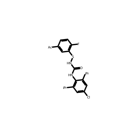 CC(=O)c1ccc(F)c(SNC(=O)Nc2c(C(C)C)cc(Cl)cc2C(C)C)c1